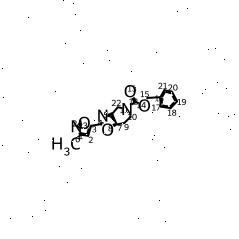 Cc1cc(-c2nc3c(o2)CCN(C(=O)OCc2ccccc2)C3)on1